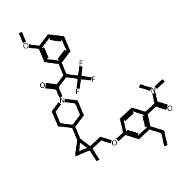 CCc1cc(OCC2(C)CC2C2CCN(C(=O)C(c3cccc(OC)c3)C(F)(F)F)CC2)ccc1C(=O)N(C)C